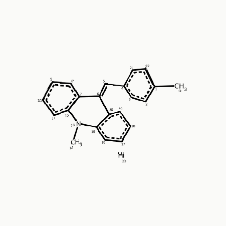 Cc1ccc(C=C2c3ccccc3N(C)c3ccccc32)cc1.I